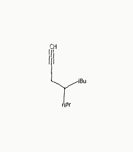 C#CCC(CCC)C(C)CC